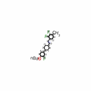 CCCCOc1ccc(C2CCC(/C=C/c3ccc(C)c(F)c3F)CC2)cc1F